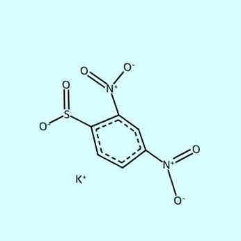 O=[N+]([O-])c1ccc(S(=O)[O-])c([N+](=O)[O-])c1.[K+]